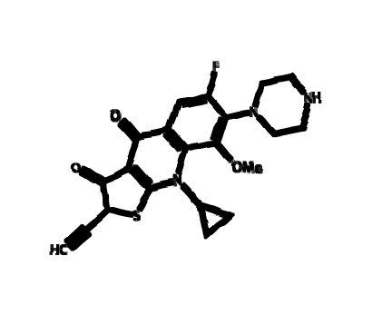 C#CC1Sc2c(c(=O)c3cc(F)c(N4CCNCC4)c(OC)c3n2C2CC2)C1=O